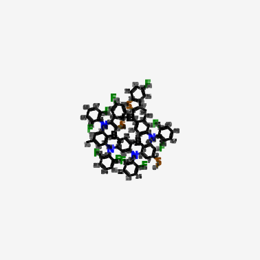 CSc1cc2c3c(c1)N(c1c(F)cccc1F)c1cc4c(cc1B3c1cc(Bc3sc5ccc(F)cc5c3C)c(C)cc1N2c1c(F)cccc1F)B1c2sc3ccc(F)cc3c2N(c2c(F)cccc2F)c2cc(C)cc(c21)N4c1c(F)cccc1F